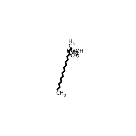 CCCCCCCCCCCCCCC(CCC)OP(=O)(O)O